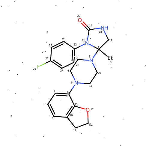 CCC1(N2CCN(c3cccc4c3OCC4)CC2)CNC(=O)N1c1ccc(F)cc1